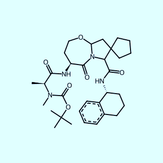 C[C@@H](C(=O)N[C@H]1CCOC2CC3(CCCC3)C(C(=O)N[C@@H]3CCCc4ccccc43)N2C1=O)N(C)C(=O)OC(C)(C)C